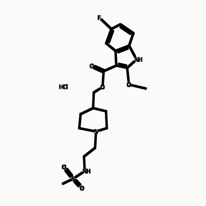 COc1[nH]c2ccc(F)cc2c1C(=O)OCC1CCN(CCNS(C)(=O)=O)CC1.Cl